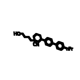 CCCc1ccc(-c2ccc(C3CCCC(C#N)(CCCCO)C3)cc2)cc1